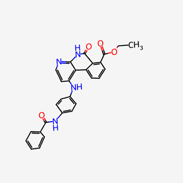 CCOC(=O)c1cccc2c1c(=O)[nH]c1nccc(Nc3ccc(NC(=O)c4ccccc4)cc3)c12